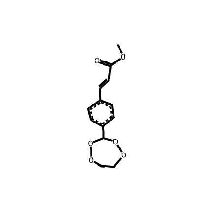 COC(=O)C=Cc1ccc(C2OOCCOO2)cc1